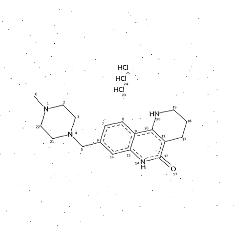 CN1CCN(Cc2ccc3c4c(c(=O)[nH]c3c2)CCCN4)CC1.Cl.Cl.Cl